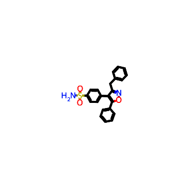 NS(=O)(=O)c1ccc(-c2c(Cc3ccccc3)noc2-c2ccccc2)cc1